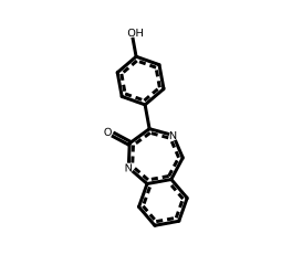 O=c1nc2ccccc2cnc1-c1ccc(O)cc1